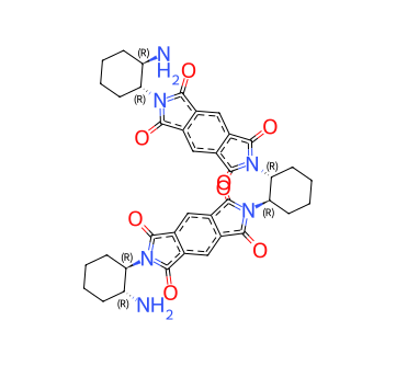 N[C@@H]1CCCC[C@H]1n1c(=O)c2cc3c(=O)n([C@@H]4CCCC[C@H]4n4c(=O)c5cc6c(=O)n([C@@H]7CCCC[C@H]7N)c(=O)c6cc5c4=O)c(=O)c3cc2c1=O